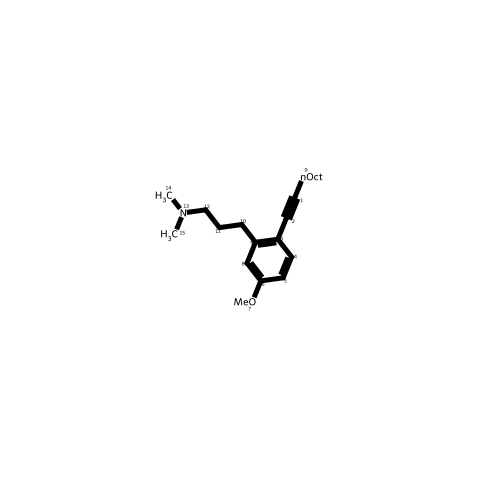 CCCCCCCCC#Cc1ccc(OC)cc1CCCN(C)C